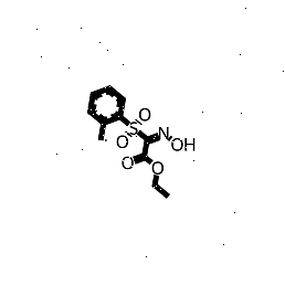 [CH2]c1ccccc1S(=O)(=O)C(=NO)C(=O)OCC